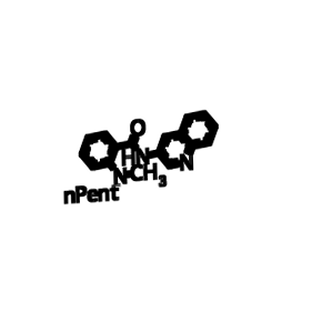 CCCCCN(C)c1ccccc1C(=O)Nc1cnc2ccccc2c1